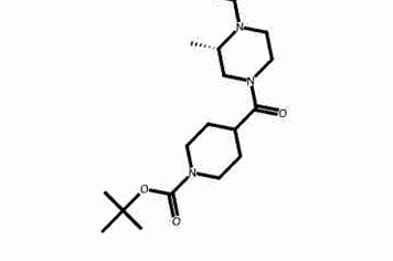 CC(C)N1CCN(C(=O)C2CCN(C(=O)OC(C)(C)C)CC2)C[C@@H]1C